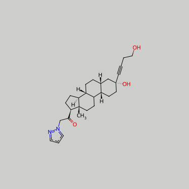 C[C@]12CCC3[C@H]4CC[C@](O)(C#CCCO)C[C@H]4CC[C@H]3[C@@H]1CC[C@@H]2C(=O)Cn1cccn1